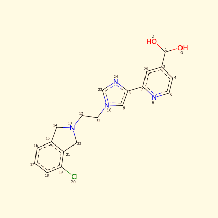 OC(O)c1ccnc(-c2cn(CCN3Cc4cccc(Cl)c4C3)cn2)c1